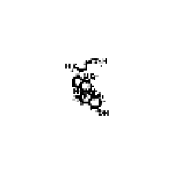 CC(CCC(=O)O)[C@H]1CC[C@H]2[C@@H]3C(=O)CC4C[C@H](O)CC[C@]4(C)[C@H]3C[C@H](O)[C@]12C